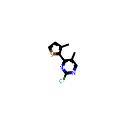 Cc1cnc(Cl)nc1-c1sccc1C